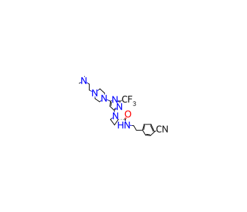 CN(C)CCN1CCN(c2cc(N3CC[C@H]3C(=O)NCCc3ccc(C#N)cc3)nc(C(F)(F)F)n2)CC1